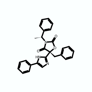 C[C@H](c1ccccc1)N1C(=O)O[C@](Cc2ccccc2)(c2ncc(-c3ccccc3)[nH]2)C1=O